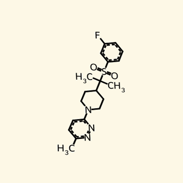 Cc1ccc(N2CCC(C(C)(C)S(=O)(=O)c3cccc(F)c3)CC2)nn1